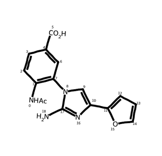 CC(=O)Nc1ccc(C(=O)O)cc1-n1cc(-c2ccco2)nc1N